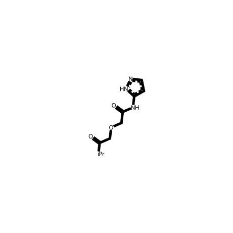 CC(C)C(=O)COCC(=O)Nc1ccn[nH]1